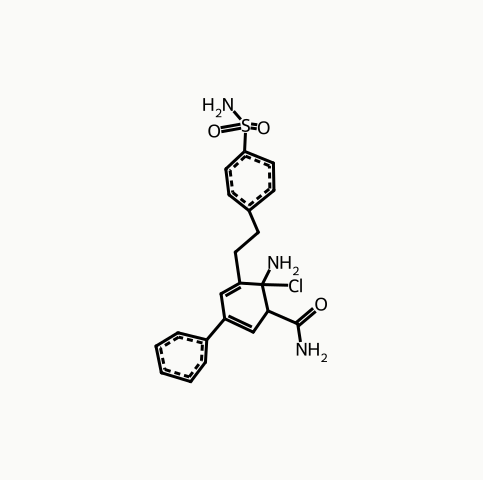 NC(=O)C1C=C(c2ccccc2)C=C(CCc2ccc(S(N)(=O)=O)cc2)C1(N)Cl